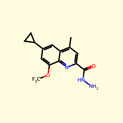 Cc1cc(C(=O)NN)nc2c(OC(F)(F)F)cc(C3CC3)cc12